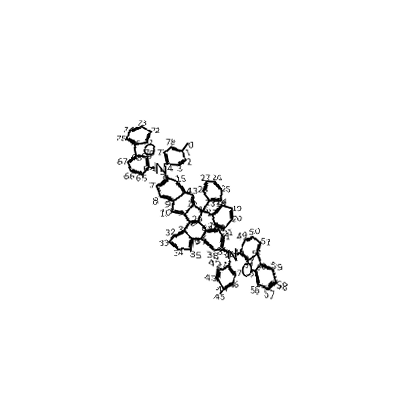 Cc1ccc(N(c2ccc3cc4c(cc3c2)C(c2ccccc2)(c2ccccc2)c2c-4c3ccccc3c3cc(N(c4ccc(C)cc4)c4cccc5c4oc4ccccc45)ccc23)c2cccc3c2oc2ccccc23)cc1